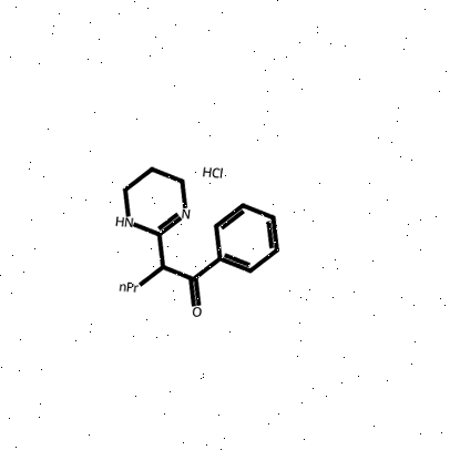 CCCC(C(=O)c1ccccc1)C1=NCCCN1.Cl